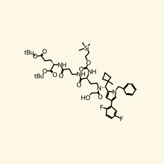 CC(C)(C)OC(=O)CC[C@@H](NC(=O)CCNC(=O)[C@H](CCN(C(=O)CO)[C@@H](c1cc(-c2cc(F)ccc2F)cn1Cc1ccccc1)C1(C)CCC1)NC(=O)OCC[Si](C)(C)C)C(=O)OC(C)(C)C